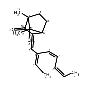 C\C=C/C=C\C(=C/C)\C=C1\C(=O)C2(C)CCC1C2(C)C